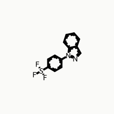 FS(F)(F)c1ccc(-n2ncc3ccccc32)cc1